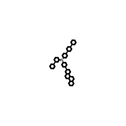 c1ccc(-c2ccc(-c3ccc(N(c4ccc(-c5ccc6c(ccc7c8ccccc8ccc67)c5)cc4)c4cccc(-c5ccccc5)c4)cc3)cc2)cc1